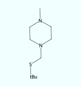 CN1CCN(CSC(C)(C)C)CC1